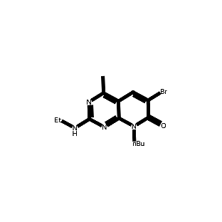 CCCCn1c(=O)c(Br)cc2c(C)nc(NCC)nc21